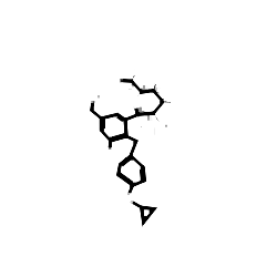 Cc1cc(CO)cc([C@@]2(O)O[C@H]([C@H](C)O)[C@@H](O)[C@H](O)[C@H]2O)c1Cc1ccc(OC2CC2)cc1